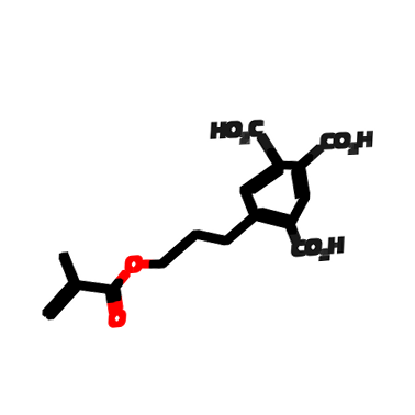 C=C(C)C(=O)OCCCc1cc(C(=O)O)c(C(=O)O)cc1C(=O)O